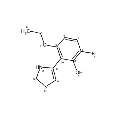 CCOc1ccc(Br)c(O)c1C1=CSCN1